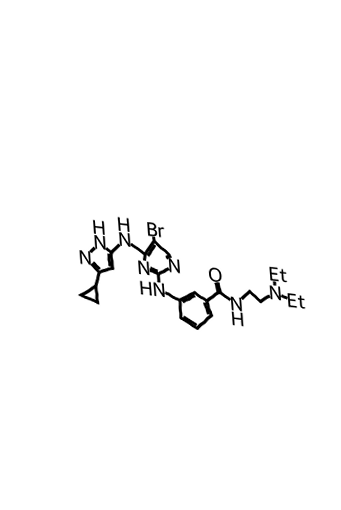 CCN(CC)CCNC(=O)c1cccc(Nc2ncc(Br)c(Nc3cc(C4CC4)n[nH]3)n2)c1